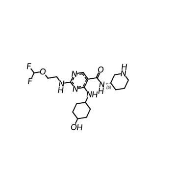 O=C(N[C@H]1CCCNC1)c1cnc(NCCOC(F)F)nc1NC1CCC(O)CC1